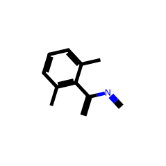 C=NC(=C)c1c(C)cccc1C